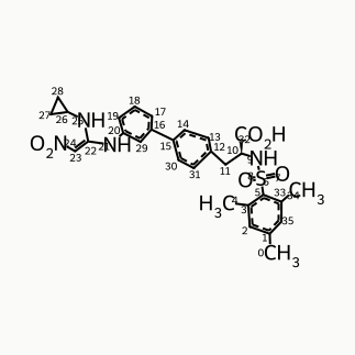 Cc1cc(C)c(S(=O)(=O)N[C@@H](Cc2ccc(-c3cccc(N/C(=C/[N+](=O)[O-])NC4CC4)c3)cc2)C(=O)O)c(C)c1